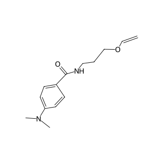 C=COCCCNC(=O)c1ccc(N(C)C)cc1